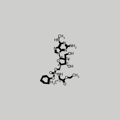 CCOC(=O)[C@H](C)N[P@](=O)(OC[C@H]1O[C@@H](n2cnc3c(NC)nc(N)nc32)[C@@](F)(CO)[C@@H]1O)Oc1ccccc1